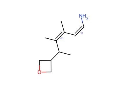 CC(/C=C\N)=C(\C)C(C)C1COC1